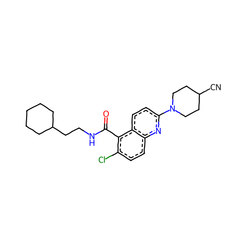 N#CC1CCN(c2ccc3c(C(=O)NCCC4CCCCC4)c(Cl)ccc3n2)CC1